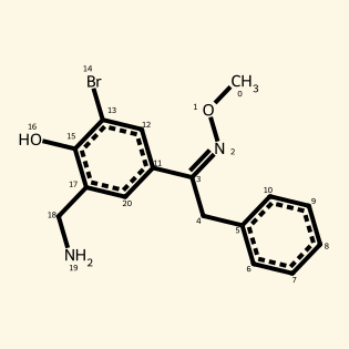 CON=C(Cc1ccccc1)c1cc(Br)c(O)c(CN)c1